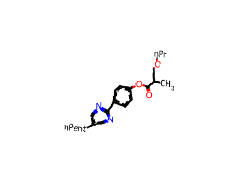 CCCCCc1cnc(-c2ccc(OC(=O)C(C)COCCC)cc2)nc1